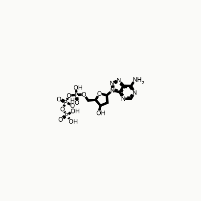 Nc1ncnc2c1nnn2C1CC(O)C(COP(=O)(O)OP(=O)(O)OP(=O)(O)O)O1